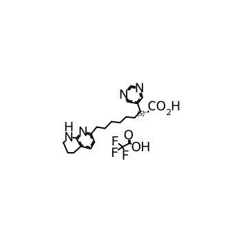 O=C(O)C(F)(F)F.O=C(O)C[C@H](CCCCCCc1ccc2c(n1)NCCC2)c1cncnc1